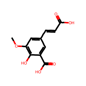 COc1cc(C=CC(=O)O)cc(C(=O)O)c1O